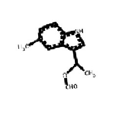 Cc1ccc2[nH]cc(C(C)OC=O)c2c1